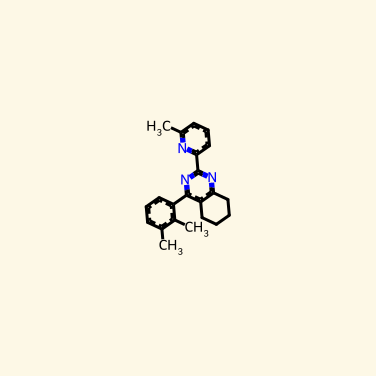 Cc1cccc(-c2nc3c(c(-c4cccc(C)c4C)n2)CCCC3)n1